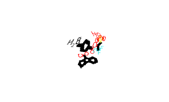 BCc1ccc(C(=O)OC(CS(=O)(=O)O)C(F)(F)F)c(OC(=O)C2c3ccccc3-c3ccccc32)c1